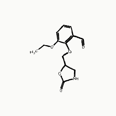 CCOc1cccc(C=O)c1OCC1CNC(=O)O1